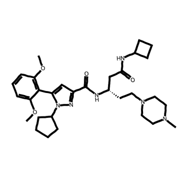 COc1cccc(OC)c1-c1cc(C(=O)N[C@@H](CCN2CCN(C)CC2)CC(=O)NC2CCC2)nn1C1CCCC1